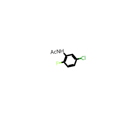 CC(=O)Nc1cc(Cl)ccc1F